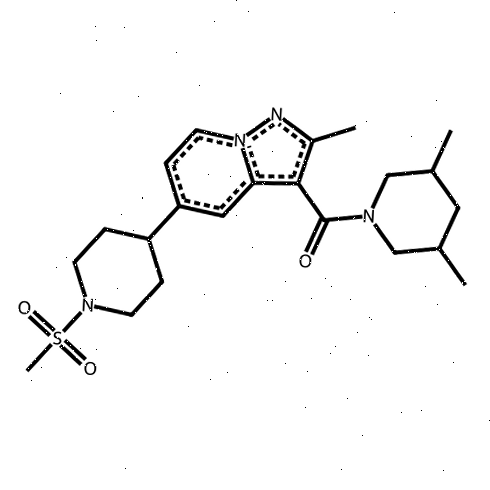 Cc1nn2ccc(C3CCN(S(C)(=O)=O)CC3)cc2c1C(=O)N1CC(C)CC(C)C1